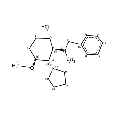 CO[C@H]1CCC[C@@H](N(C)Cc2ccccc2)[C@@H]1N1CCCC1.Cl